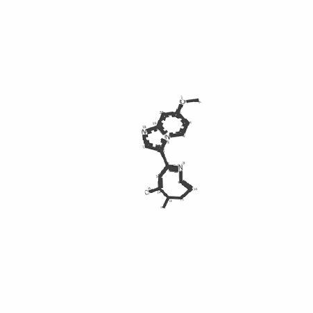 COc1ccn2c(C3=N/C=C/CC(C)/C(Cl)=C\3)cnc2c1